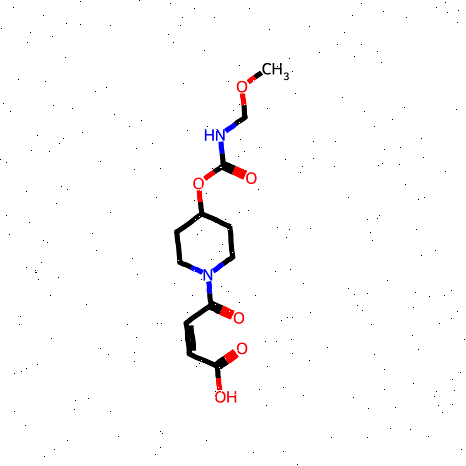 COCNC(=O)OC1CCN(C(=O)/C=C\C(=O)O)CC1